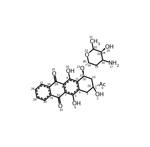 CC(=O)[C@]1(O)Cc2c(O)c3c(c(O)c2[C@@H](O[C@H]2CC(N)[C@H](O)C(C)O2)C1)C(=O)c1ccccc1C3=O